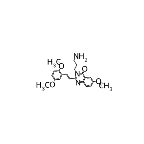 COc1ccc(OC)c(C=Cc2nc3ccc(OC)cc3c(=O)n2CCCN)c1